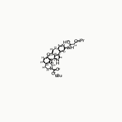 C=Nc1[nH]cc(-c2ccnc(NC(O)COC(C)C)c2)c1/C(=C\C)Oc1ccc2c(c1)CN(C(=O)OC(C)(C)C)CC2